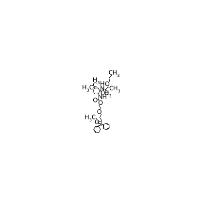 CCCCOC(C)C(=O)NC1(C)CC(C)(C)CCC1NC(=O)OCCOCCC[Si](OCC)(C1=CC=CCC1)c1ccccc1